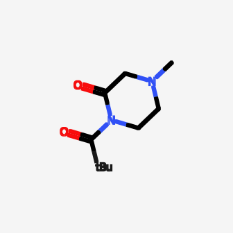 CN1CCN(C(=O)C(C)(C)C)C(=O)C1